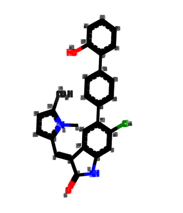 Cn1c(C=C2C(=O)Nc3cc(Cl)c(-c4ccc(-c5ccccc5O)cc4)cc32)ccc1C(=O)O